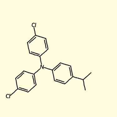 CC(C)c1ccc(N(c2ccc(Cl)cc2)c2ccc(Cl)cc2)cc1